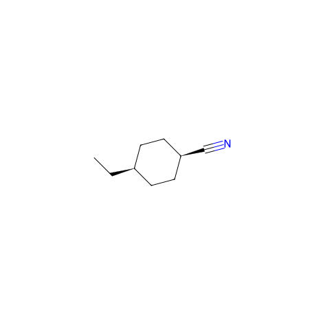 CC[C@H]1CC[C@@H](C#N)CC1